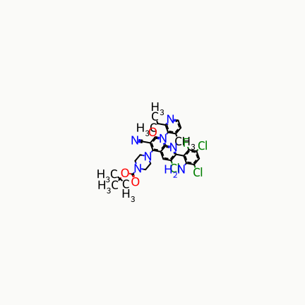 Cc1ccnc(C(C)C)c1-n1c(=O)c(C#N)c(N2CCN(C(=O)OC(C)(C)C)CC2)c2cc(Cl)c(-c3c(N)c(Cl)cc(Cl)c3F)nc21